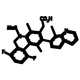 CSN1Cc2c(F)ccc(F)c2-c2c(C)c(-c3ccc4cccnc4c3C)c(CC(=O)O)c(C)c21